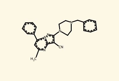 Cc1cc(-c2ccccc2)n2nc(N3CCN(Cc4ccccc4)CC3)c(C#N)c2n1